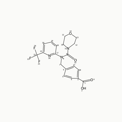 O=C(O)c1ccc(CN(C(=O)N2CCOCC2)c2cccc(C(F)(F)F)n2)cc1